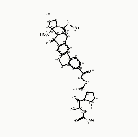 COC(=O)N[C@H](C(=O)N1[C@@H](C)CC[C@H]1C(=O)OCC(=O)c1ccc2c(c1)COc1cc3c(cc1-2)CCC([C@]1(C(=O)O)C[C@H](C)CN1C(=O)OC(C)(C)C)C3=O)C(C)C